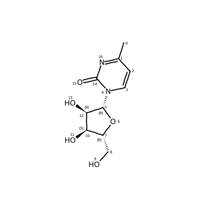 Cc1ccn([C@@H]2O[C@H](CO)[C@@H](O)[C@H]2O)c(=O)n1